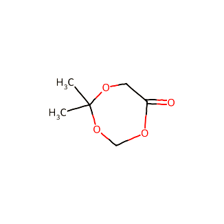 CC1(C)OCOC(=O)CO1